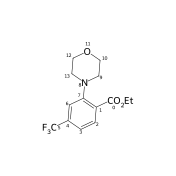 CCOC(=O)c1ccc(C(F)(F)F)cc1N1CCOCC1